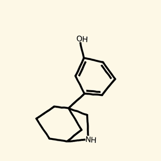 Oc1cccc(C23CCCC(C2)NC3)c1